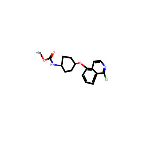 CC(C)(C)OC(=O)N[C@H]1CC[C@@H](Oc2cccc3c(Cl)nccc23)CC1